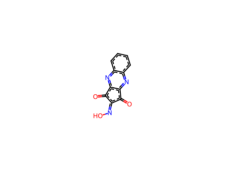 O=c1c(=NO)c(=O)c2nc3ccccc3nc12